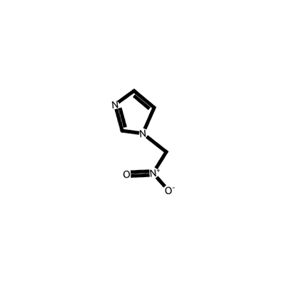 O=[N+]([O-])Cn1ccnc1